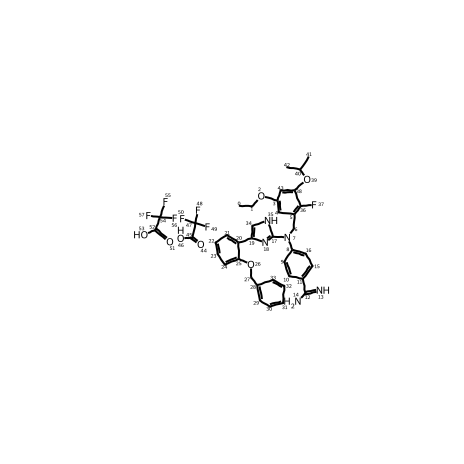 CCOc1cc(CN(c2ccc(C(=N)N)cc2)c2nc(-c3ccccc3OCc3ccccc3)c[nH]2)c(F)c(OC(C)C)c1.O=C(O)C(F)(F)F.O=C(O)C(F)(F)F